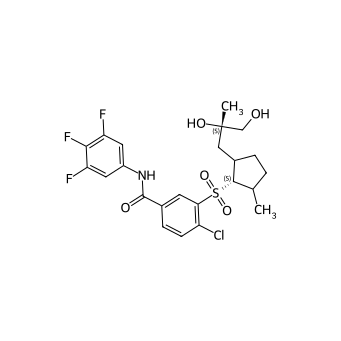 CC1CCC(C[C@](C)(O)CO)[C@H]1S(=O)(=O)c1cc(C(=O)Nc2cc(F)c(F)c(F)c2)ccc1Cl